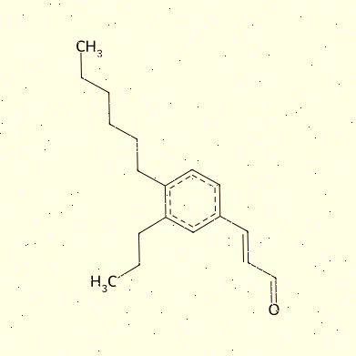 CCCCCCc1ccc(C=CC=O)cc1CCC